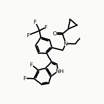 CCN(Cc1cc(C(F)(F)F)ccc1-c1c[nH]c2ccc(F)c(F)c12)C(=O)C1CC1